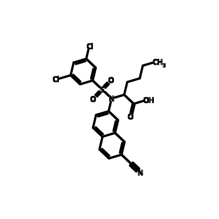 CCCCC(C(=O)O)N(c1ccc2ccc(C#N)cc2c1)S(=O)(=O)c1cc(Cl)cc(Cl)c1